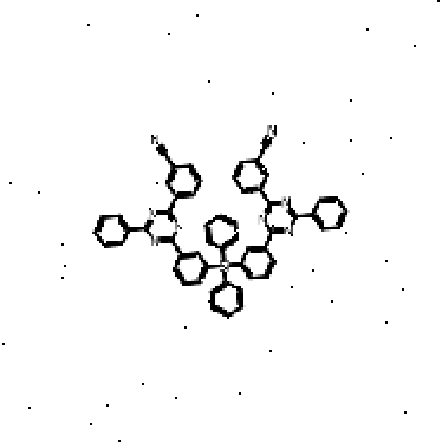 N#Cc1cccc(-c2nc(-c3ccccc3)nc(-c3cccc([Si](c4ccccc4)(c4ccccc4)c4cccc(-c5nc(-c6ccccc6)nc(-c6cccc(C#N)c6)n5)c4)c3)n2)c1